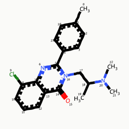 Cc1ccc(-c2nc3c(Cl)cccc3c(=O)n2CC(C)N(C)C)cc1